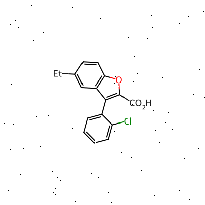 CCc1ccc2oc(C(=O)O)c(-c3ccccc3Cl)c2c1